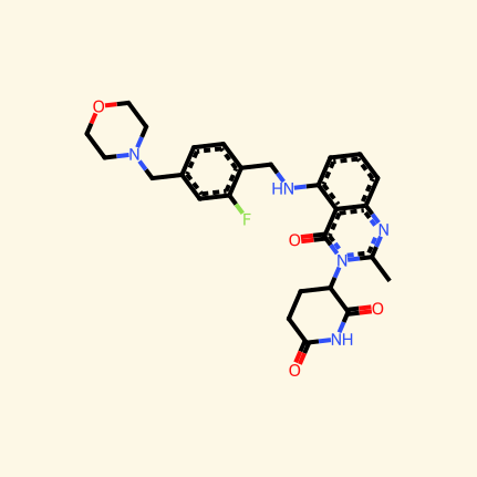 Cc1nc2cccc(NCc3ccc(CN4CCOCC4)cc3F)c2c(=O)n1C1CCC(=O)NC1=O